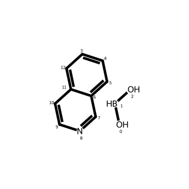 OBO.c1ccc2cnccc2c1